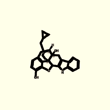 Oc1ccc2c3c1OC1c4[nH]c5ccccc5c4C[C@@]4(O)[C@@H](C2)N(CC2CC2)CC[C@]314